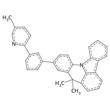 Cc1ccc(-c2cccc(-c3ccc4c(c3)C(C)(C)c3cccc5c6ccccc6n-4c35)c2)nc1